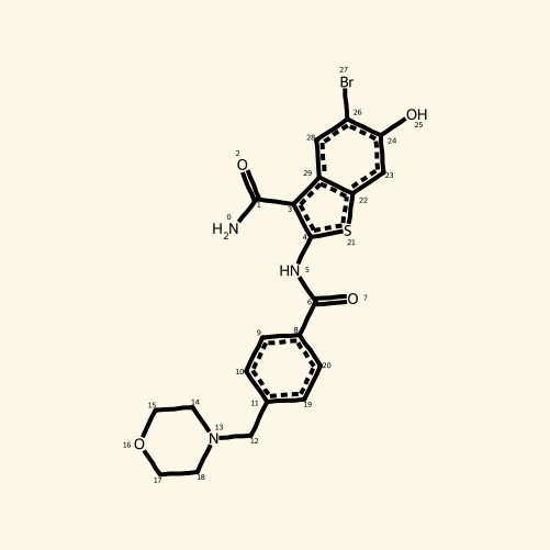 NC(=O)c1c(NC(=O)c2ccc(CN3CCOCC3)cc2)sc2cc(O)c(Br)cc12